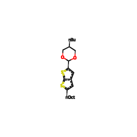 CCCCCCCCc1cc2cc(C3OCC(CCCC)CO3)sc2s1